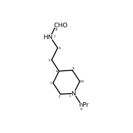 CCCN1CCC(CCNC=O)CC1